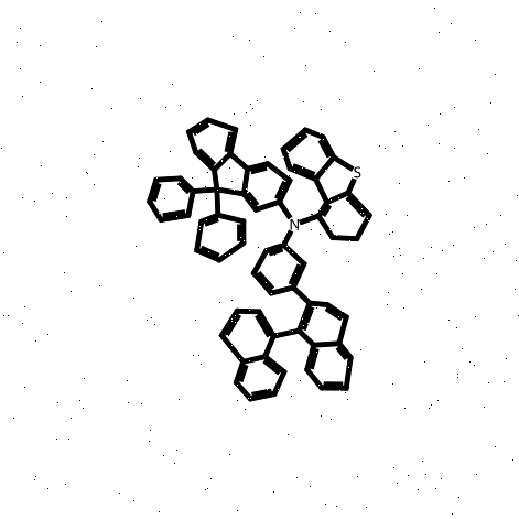 C1=c2sc3ccccc3c2=C(N(c2cccc(-c3ccc4ccccc4c3-c3cccc4ccccc34)c2)c2ccc3c(c2)C(c2ccccc2)(c2ccccc2)c2ccccc2-3)CC1